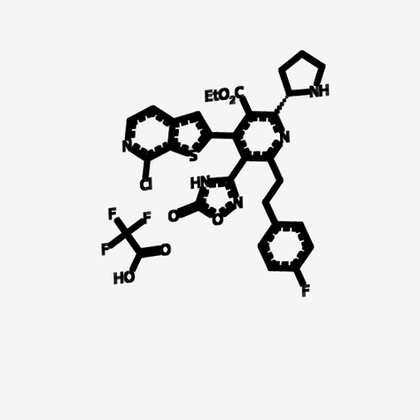 CCOC(=O)c1c([C@@H]2CCCN2)nc(CCc2ccc(F)cc2)c(-c2noc(=O)[nH]2)c1-c1cc2ccnc(Cl)c2s1.O=C(O)C(F)(F)F